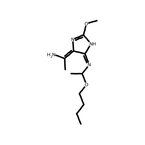 CCCCOC(C)/N=C1/NC(OC)=N/C1=C(/C)N